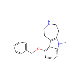 Cn1c2c(c3c(OCc4ccccc4)cccc31)CCNCC2